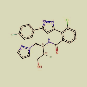 O=C(N[C@H](Cn1cccn1)[C@H](F)CO)c1cccc(Cl)c1-c1cc(-c2ccc(F)cc2)[nH]n1